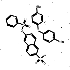 CC(C)(C)c1ccc([I+]c2ccc(C(C)(C)C)cc2)cc1.O=S(=O)([O-])c1ccc2cc(OS(=O)(=O)c3ccccc3)ccc2c1